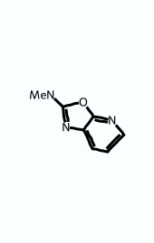 CNc1nc2cccnc2o1